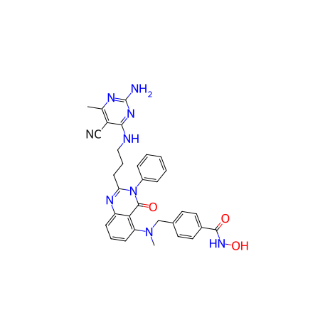 Cc1nc(N)nc(NCCCc2nc3cccc(N(C)Cc4ccc(C(=O)NO)cc4)c3c(=O)n2-c2ccccc2)c1C#N